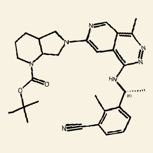 Cc1c(C#N)cccc1[C@@H](C)Nc1nnc(C)c2cnc(N3CC4CCCN(C(=O)OC(C)(C)C)C4C3)cc12